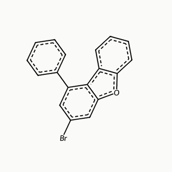 Brc1cc(-c2ccccc2)c2c(c1)oc1ccccc12